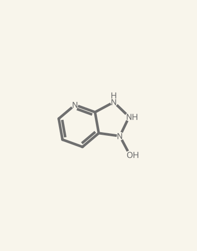 ON1NNc2ncccc21